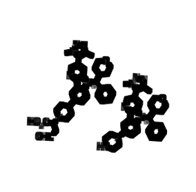 Cc1nnn(C)c1-c1cnc2c3cc(C4CCN(C(CC=O)C(=O)O)CC4)ccc3n([C@H](c3ccccc3)C3CCOCC3)c2c1.Cc1nnn(C)c1-c1cnc2c3cc(N4CCNCC4)ccc3n([C@H](c3ccccc3)C3CCOCC3)c2c1